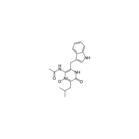 CC(=O)Nc1c(Cc2c[nH]c3ccccc23)[nH]c(=O)c(CC(C)C)[n+]1[O-]